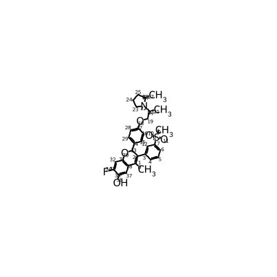 CC1=C(c2cccc(S(C)(=O)=O)c2)C(c2ccc(OC[C@H](C)N3CCC[C@H]3C)cc2)Oc2cc(F)c(O)cc21